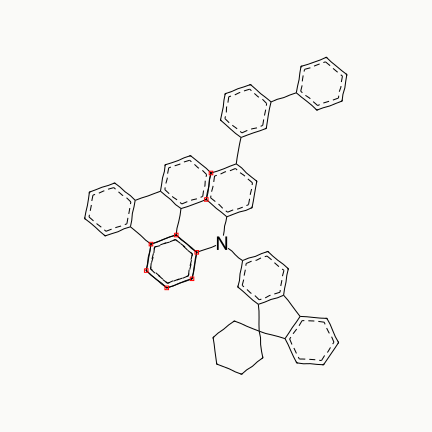 c1ccc(-c2cccc(-c3ccc(N(c4ccc5c(c4)C4(CCCCC4)c4ccccc4-5)c4ccccc4-c4ccccc4-c4ccccc4-c4ccccc4)cc3)c2)cc1